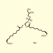 CCCCCCCC/C=C\CCCCCCCC(=O)OC[C@H](COP(=O)([O-])OCC(O)CO)OC(=O)CCCCCCC/C=C\CCCCCCCC.[Na+]